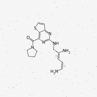 N/C=C\C=C(/N)CNc1nc(C(=O)N2CCCC2)c2sccc2n1